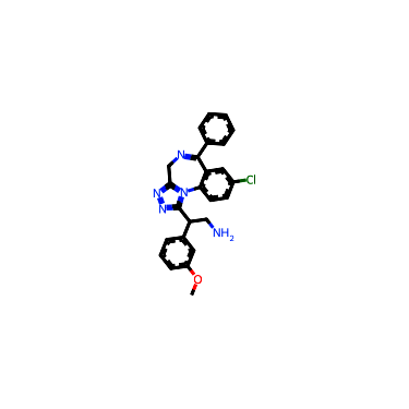 COc1cccc(C(CN)c2nnc3n2-c2ccc(Cl)cc2C(c2ccccc2)=NC3)c1